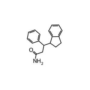 NC(=O)CC(c1ccccc1)C1CCc2ccccc21